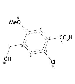 COc1cc(C(=O)O)c(Cl)cc1CO